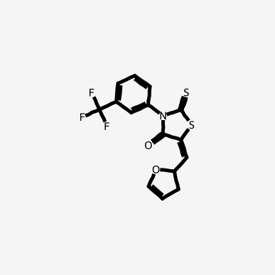 O=C1/C(=C\C2CC=CO2)SC(=S)N1c1cccc(C(F)(F)F)c1